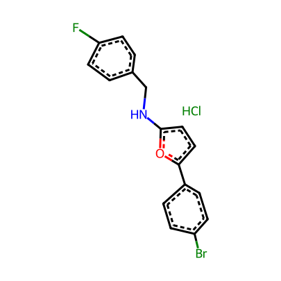 Cl.Fc1ccc(CNc2ccc(-c3ccc(Br)cc3)o2)cc1